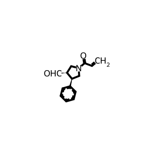 C=CC(=O)N1C[C@@H](C=O)[C@H](c2ccccc2)C1